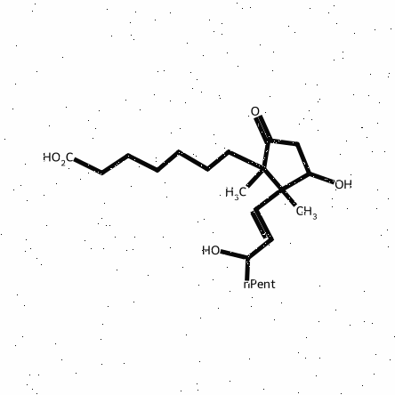 CCCCCC(O)C=CC1(C)C(O)CC(=O)C1(C)CCCCCCC(=O)O